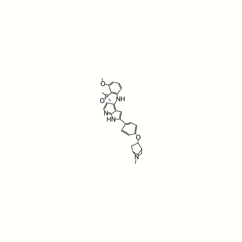 COc1cccc(Nc2ccnc3[nH]c(-c4ccc(OC5CC6CC5CN6C)cc4)cc23)c1P(C)(C)=O